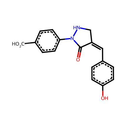 O=C(O)c1ccc(N2NC/C(=C/c3ccc(O)cc3)C2=O)cc1